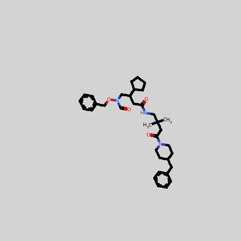 CC(C)(CNC(=O)CC(CN(C=O)OCc1ccccc1)C1CCCC1)CC(=O)N1CCC(Cc2ccccc2)CC1